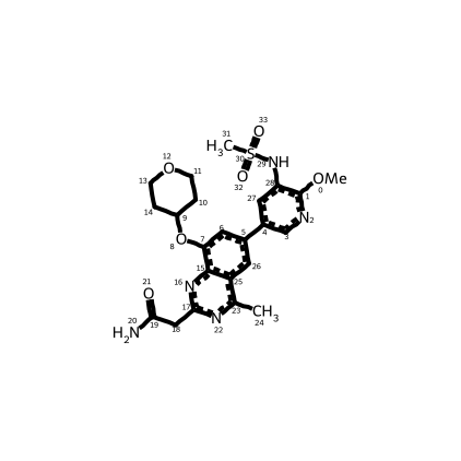 COc1ncc(-c2cc(OC3CCOCC3)c3nc(CC(N)=O)nc(C)c3c2)cc1NS(C)(=O)=O